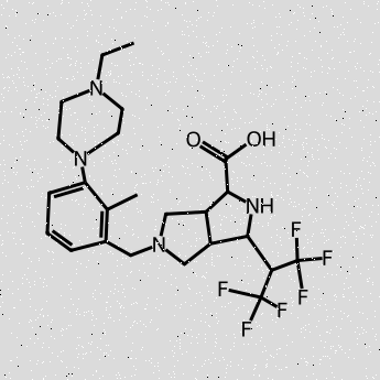 CCN1CCN(c2cccc(CN3CC4C(C(=O)O)NC(C(C(F)(F)F)C(F)(F)F)C4C3)c2C)CC1